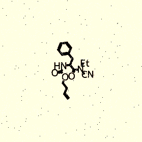 C=CCCOC(=O)NC(Cc1ccccc1)C(=O)N(C#N)CC